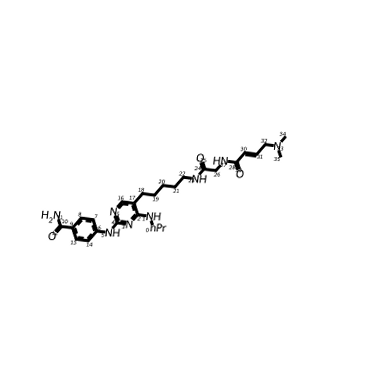 CCCNc1nc(Nc2ccc(C(N)=O)cc2)ncc1CCCCCNC(=O)CNC(=O)/C=C/CN(C)C